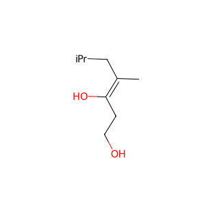 CC(CC(C)C)=C(O)CCO